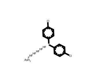 Clc1ccc([I+]c2ccc(Cl)cc2)cc1.F.F.F.F.F.[AsH3].[F-]